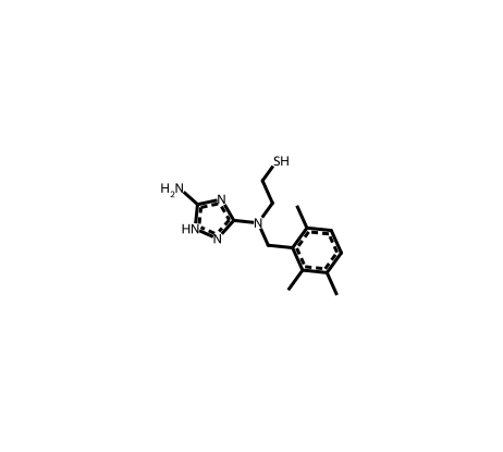 Cc1ccc(C)c(CN(CCS)c2n[nH]c(N)n2)c1C